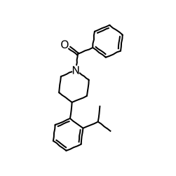 CC(C)c1ccccc1C1CCN(C(=O)c2ccccc2)CC1